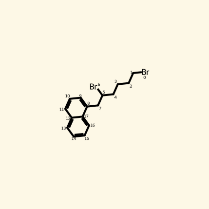 BrCCCCC(Br)Cc1cccc2ccccc12